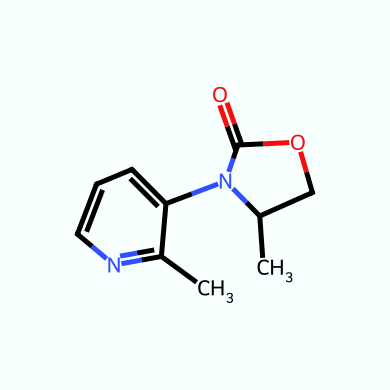 Cc1ncccc1N1C(=O)OCC1C